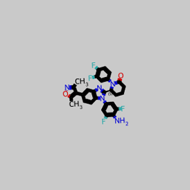 Cc1noc(C)c1-c1ccc2c(c1)nc([C@@H]1CCCC(=O)N1c1ccc(F)c(F)c1)n2-c1cc(F)c(N)c(F)c1